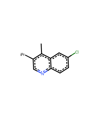 Cc1c(C(C)C)cnc2ccc(Cl)cc12